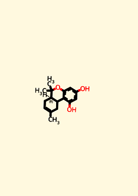 CC1=CC[C@@H]2C(C1)c1c(O)cc(O)cc1OC2(C)C